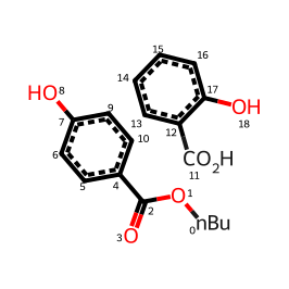 CCCCOC(=O)c1ccc(O)cc1.O=C(O)c1ccccc1O